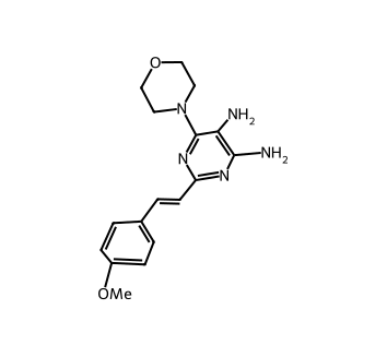 COc1ccc(C=Cc2nc(N)c(N)c(N3CCOCC3)n2)cc1